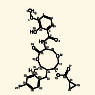 COc1ccnc(C(=O)N[C@H]2COC[C@H](OC(=O)C3CC3)[C@@H](Cc3ccc(F)cc3)[C@H](C)OC2=O)c1O